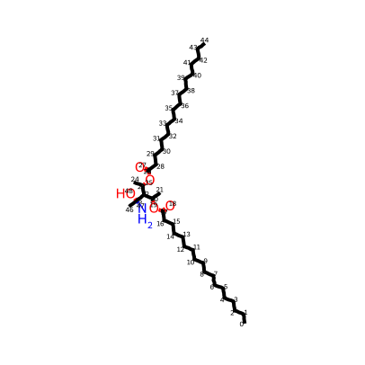 CCCCCCCCCCCCCCCCCC(=O)OC(C)C(C(C)OC(=O)CCCCCCCCCCCCCCCCC)C(C)(N)O